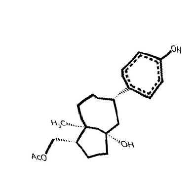 CC(=O)OC[C@H]1CC[C@]2(O)C[C@@H](c3ccc(O)cc3)CC[C@]12C